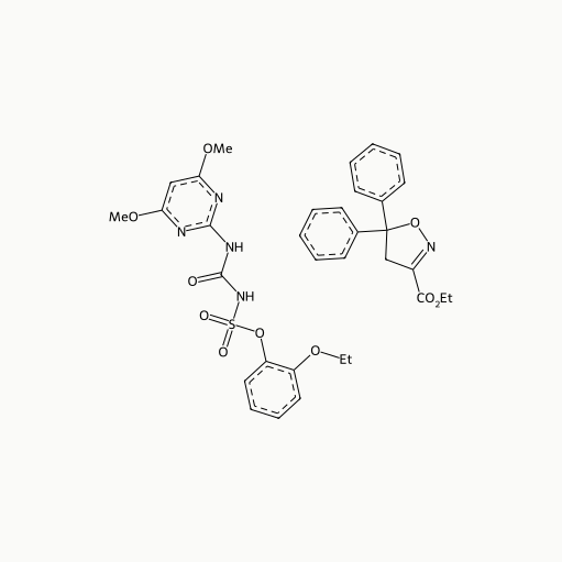 CCOC(=O)C1=NOC(c2ccccc2)(c2ccccc2)C1.CCOc1ccccc1OS(=O)(=O)NC(=O)Nc1nc(OC)cc(OC)n1